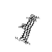 CCCCCCCCCCCCCCCCCCONCC.CCCCCCCCCCCCCCCCCCONCC.CCCCCCCCCCCCCCCCCCONCC.O=P(O)(O)O